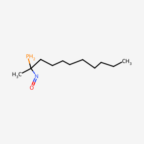 CCCCCCCCCC(C)(P)N=O